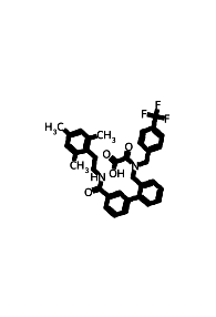 Cc1cc(C)c(CCNC(=O)c2cccc(-c3ccccc3CN(Cc3ccc(C(F)(F)F)cc3)C(=O)C(=O)O)c2)c(C)c1